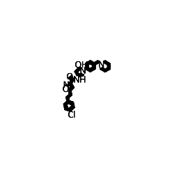 O=C(NC1CC(O)N(c2ccc(CN3CCCCC3)cc2)C1)c1cc(CCc2ccc(Cl)cc2)on1